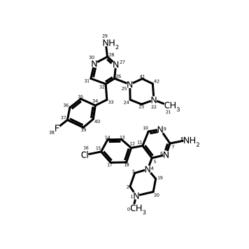 CN1CCN(c2nc(N)ncc2-c2ccc(Cl)cc2)CC1.CN1CCN(c2nc(N)ncc2Cc2ccc(F)cc2)CC1